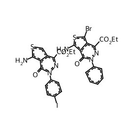 CCOC(=O)c1nn(-c2ccc(I)cc2)c(=O)c2c(N)scc12.CCOC(=O)c1nn(-c2ccccc2)c(=O)c2c(N)sc(Br)c12